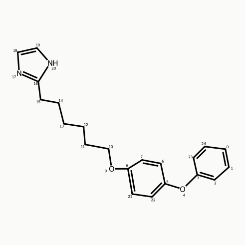 c1ccc(Oc2ccc(OCCCCCCc3ncc[nH]3)cc2)cc1